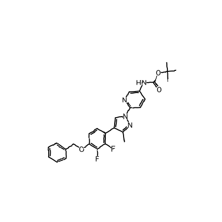 Cc1nn(-c2ccc(NC(=O)OC(C)(C)C)cn2)cc1-c1ccc(OCc2ccccc2)c(F)c1F